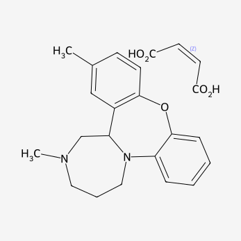 Cc1ccc2c(c1)C1CN(C)CCCN1c1ccccc1O2.O=C(O)/C=C\C(=O)O